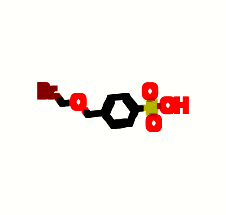 O=S(=O)(O)c1ccc(COCBr)cc1